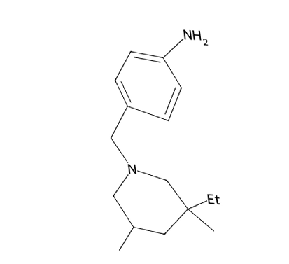 CCC1(C)CC(C)CN(Cc2ccc(N)cc2)C1